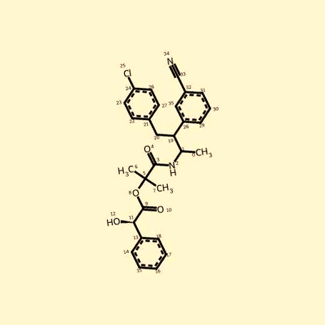 CC(NC(=O)C(C)(C)OC(=O)[C@H](O)c1ccccc1)C(Cc1ccc(Cl)cc1)c1cccc(C#N)c1